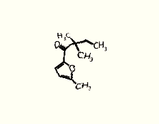 CCC(C)(C)C(=O)c1ccc(C)o1